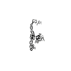 CCOC(=O)CCN1CCC(N2CCN(C(=O)[C@@H](Cc3cc(Br)c(O)c(Br)c3)OC(=O)N3CCC(N4CCc5ccccc5NC4=O)CC3)CC2)CC1